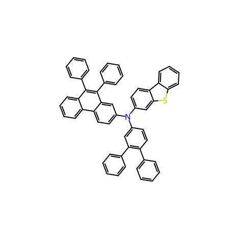 c1ccc(-c2ccc(N(c3ccc4c(c3)sc3ccccc34)c3ccc4c(c3)c(-c3ccccc3)c(-c3ccccc3)c3ccccc34)cc2-c2ccccc2)cc1